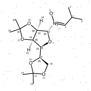 CC(C)/C=[N+](\[O-])[C@@H]1O[C@@H]([C@H]2COC(C)(C)O2)[C@H]2OC(C)(C)O[C@H]21